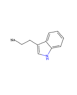 [Na][CH2]Cc1c[nH]c2ccccc12